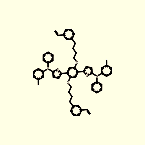 C=Cc1cccc(CCCCOc2cc(-c3ccc(N(c4ccccc4)c4cccc(C)c4)s3)c(OCCCCc3cccc(C=C)c3)cc2-c2ccc(N(c3ccccc3)c3cccc(C)c3)s2)c1